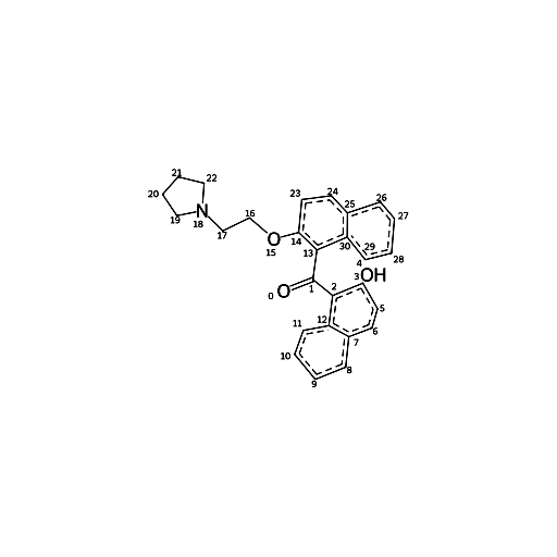 O=C(c1c(O)ccc2ccccc12)c1c(OCCN2CCCC2)ccc2ccccc12